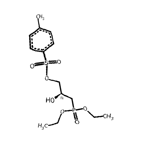 CCOP(=O)(C[C@@H](O)COS(=O)(=O)c1ccc(C)cc1)OCC